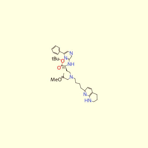 CO[C@H](C)CN(CCCCc1ccc2c(n1)NCCC2)CC[C@H](Nc1cncc(-c2ccccc2)n1)C(=O)OC(C)(C)C